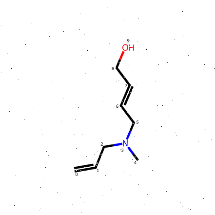 C=CCN(C)C/C=C/CO